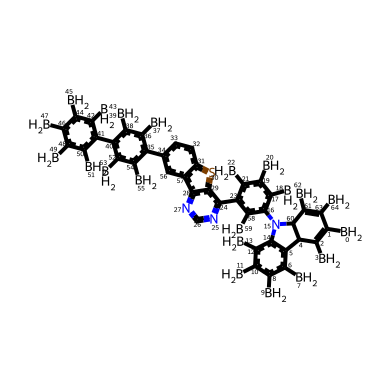 BC1=C(B)C2c3c(B)c(B)c(B)c(B)c3N(c3c(B)c(B)c(B)c(-c4ncnc5c4sc4ccc(-c6c(B)c(B)c(-c7c(B)c(B)c(B)c(B)c7B)c(B)c6B)cc45)c3B)C2C(B)=C1B